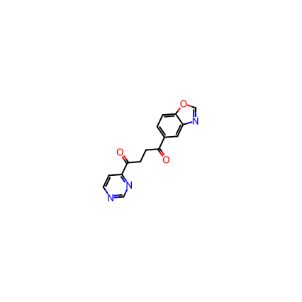 O=C(CCC(=O)c1ccncn1)c1ccc2ocnc2c1